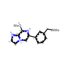 CNCc1cccc(-c2cn3ccnc3c(OC)n2)c1